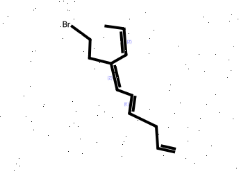 C=CC/C=C/C=C(\C=C/C)CCBr